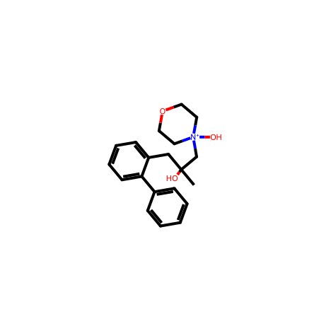 CC(O)(Cc1ccccc1-c1ccccc1)C[N+]1(O)CCOCC1